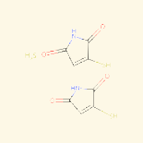 O=C1C=C(S)C(=O)N1.O=C1C=C(S)C(=O)N1.S